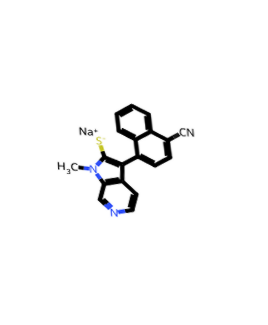 Cn1c([S-])c(-c2ccc(C#N)c3ccccc23)c2ccncc21.[Na+]